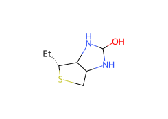 CC[C@H]1SCC2NC(O)NC21